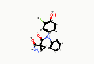 NC(=O)C1(C(=O)N(c2ccccc2)c2ccc(O)c(F)c2)CC1